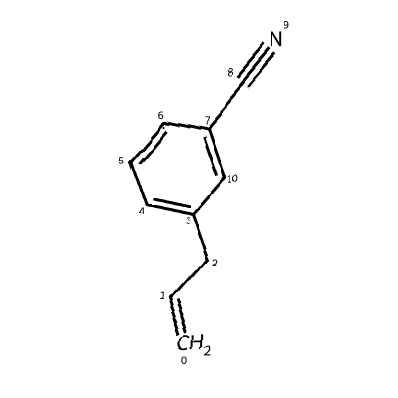 C=CCc1cc[c]c(C#N)c1